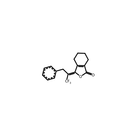 O=C1OC(=C(Cc2ccccc2)C(F)(F)F)C2=C1CCCC2